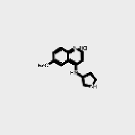 COc1ccc2nccc(NC3CCNC3)c2c1.Cl